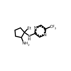 CCC1(Nc2cnc(C(F)(F)F)cn2)CCCC1N